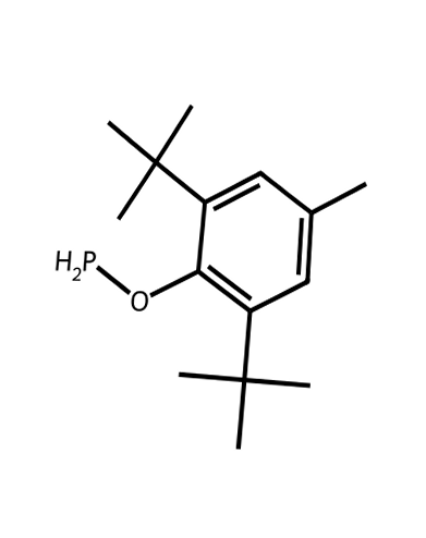 Cc1cc(C(C)(C)C)c(OP)c(C(C)(C)C)c1